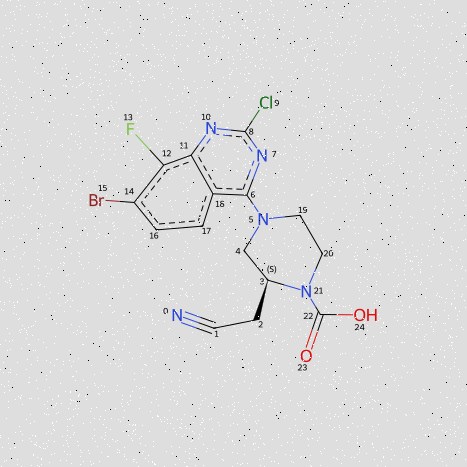 N#CC[C@H]1CN(c2nc(Cl)nc3c(F)c(Br)ccc23)CCN1C(=O)O